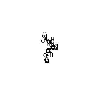 Cc1c(NC(=O)N2CC=CCC2)cccc1-c1cc(Nc2ccc(C(=O)N3CCOCC3)cn2)c2nccn2c1